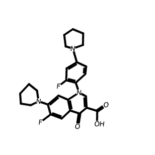 O=C(O)c1cn(-c2ccc(N3CCCCC3)cc2F)c2cc(N3CCCCC3)c(F)cc2c1=O